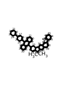 CC1(C)C2=CC=C(c3c4ccccc4c(C4=CC=C(C5=CC=CCC5)CC4)c4ccccc34)CC2c2cc3c(ccc4c5ccccc5sc34)cc21